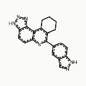 c1cc2[nH]ncc2cc1-c1nc2ccc3[nH]nnc3c2c2c1CCCC2